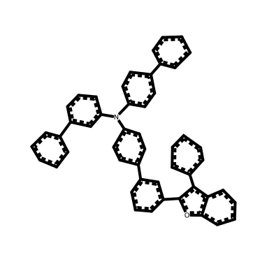 c1ccc(-c2ccc(N(c3ccc(-c4cccc(-c5oc6ccccc6c5-c5ccccc5)c4)cc3)c3cccc(-c4ccccc4)c3)cc2)cc1